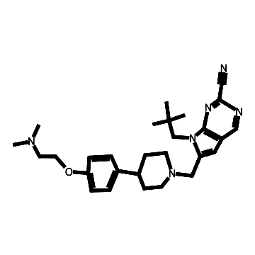 CN(C)CCOc1ccc(C2CCN(Cc3cc4cnc(C#N)nc4n3CC(C)(C)C)CC2)cc1